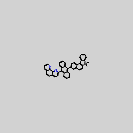 C[Si]1(C)c2ccccc2-c2c1ccc1cc(-c3c4ccccc4c(-c4ccc5ccc6cccnc6c5n4)c4ccccc34)ccc21